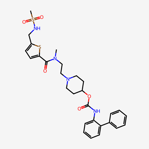 CN(CCN1CCC(OC(=O)Nc2ccccc2-c2ccccc2)CC1)C(=O)c1ccc(CNS(C)(=O)=O)s1